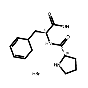 Br.O=C(O)[C@H](CC1C=CC=CC1)NC(=O)[C@@H]1CCCN1